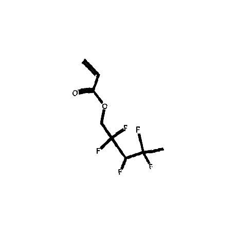 C=CC(=O)OCC(F)(F)C(F)C(C)(F)F